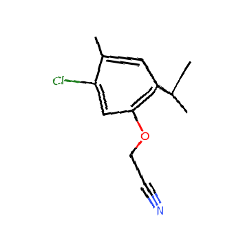 Cc1cc(C(C)C)c(OCC#N)cc1Cl